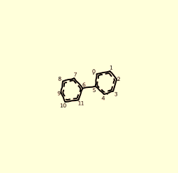 [c]1ccc[c]c1-c1ccccc1